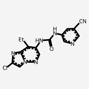 CCc1c(NC(=O)Nc2cncc(C#N)c2)cnn2cc(Cl)nc12